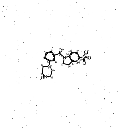 O=C(c1cccc(N2CCNCC2)c1)N1CCc2nc(S(=O)(=O)Cl)ccc21